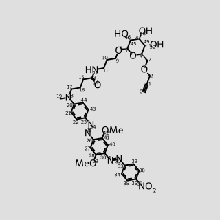 C#CCOC[C@H]1O[C@@H](OCCCNC(=O)CCCN(C)c2ccc(/N=N/c3cc(OC)c(/N=N/c4ccc([N+](=O)[O-])cc4)cc3OC)cc2)[C@H](O)[C@@H](O)[C@@H]1O